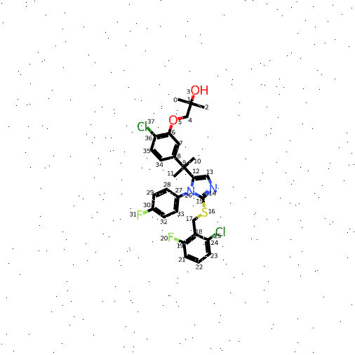 CC(C)(O)COc1cc(C(C)(C)c2cnc(SCc3c(F)cccc3Cl)n2-c2ccc(F)cc2)ccc1Cl